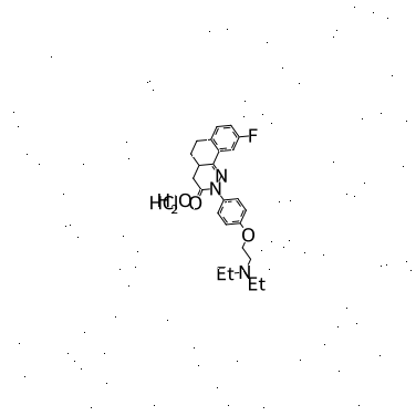 CCN(CC)CCOc1ccc(N2N=C3c4cc(F)ccc4CCC3CC2=O)cc1.Cl.O